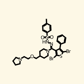 Cc1ccc(S(=O)(=O)N/N=C(/c2c(Br)sc(Br)c2-c2ccccc2)N2CCC(COCCN3CCCC3)CC2)cc1